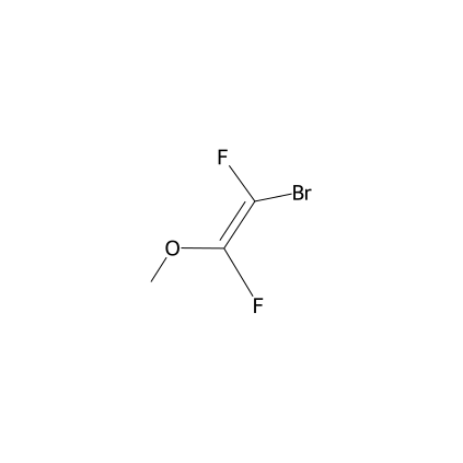 CO/C(F)=C(\F)Br